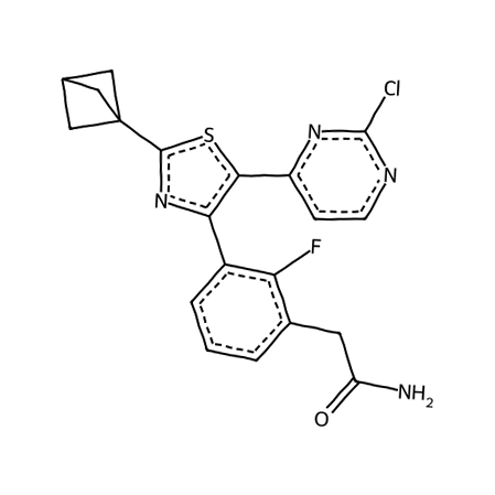 NC(=O)Cc1cccc(-c2nc(C34CC(C3)C4)sc2-c2ccnc(Cl)n2)c1F